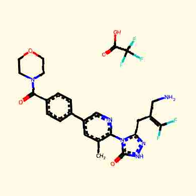 Cc1cc(-c2ccc(C(=O)N3CCOCC3)cc2)cnc1-n1c(CC(CN)=C(F)F)n[nH]c1=O.O=C(O)C(F)(F)F